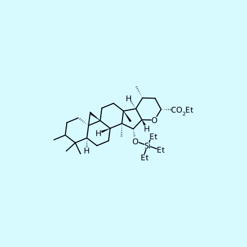 CCOC(=O)[C@H]1C[C@@H](C)[C@H]2[C@H](O1)[C@H](O[Si](CC)(CC)CC)[C@@]1(C)[C@@H]3CC[C@H]4C(C)(C)C(C)CC[C@@]45C[C@@]35CC[C@]21C